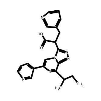 CCC(C)c1nc(-c2cccnc2)cn2c(C(Cc3cccnc3)C(=O)O)nnc12